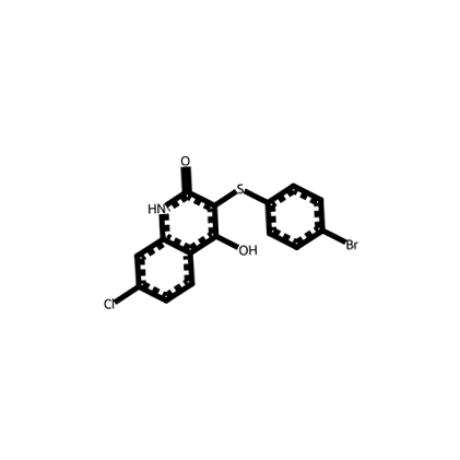 O=c1[nH]c2cc(Cl)ccc2c(O)c1Sc1ccc(Br)cc1